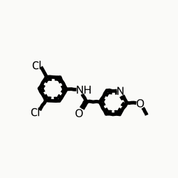 COc1ccc(C(=O)Nc2cc(Cl)cc(Cl)c2)cn1